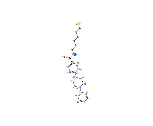 O=C(NCCCCCCS)c1cnc(N2CCN(c3ccccc3)CC2)nc1